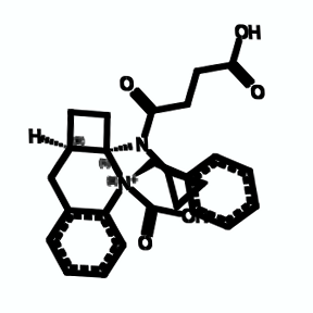 O=C(O)CCC(=O)N(C1CC1)[C@@]12CC[C@@H]1Cc1ccccc1[N@@+]2(Cc1ccccc1)C(=O)O